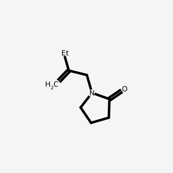 C=C(CC)CN1CCCC1=O